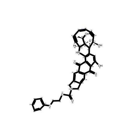 C[C@@H](O)[C@@]12O[C@]13c1cc(O)c4c(c1N[C@H]2C#C/C=C\C#C[C@H]3O)C(=O)c1cc2c(cc1C4=O)CN(C(=O)OCCSc1ccccc1)C2